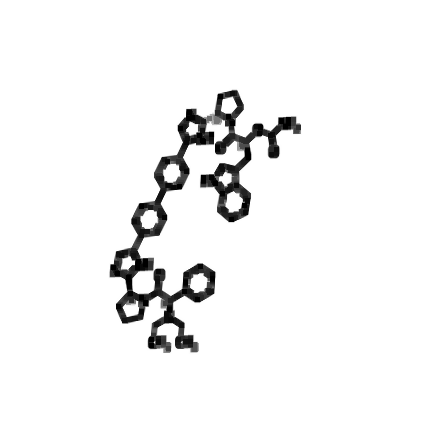 CCN(CC)[C@@H](C(=O)N1CCC[C@H]1c1ncc(-c2ccc(-c3ccc(-c4cnc([C@@H]5CCCN5C(=O)[C@H](Cc5c[nH]c6ccccc56)OC(N)=O)[nH]4)cc3)cc2)[nH]1)c1ccccc1